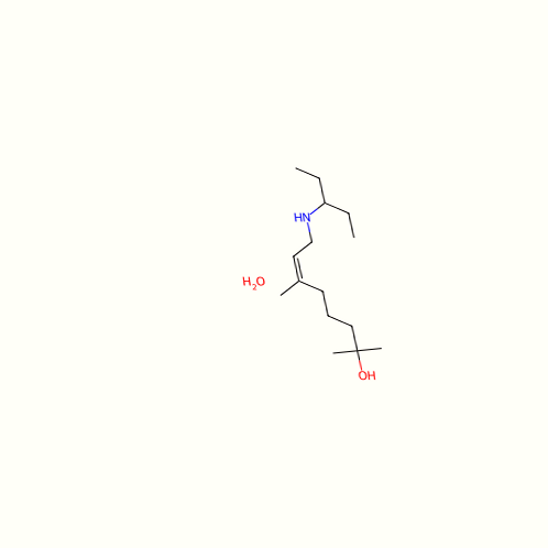 CCC(CC)NCC=C(C)CCCC(C)(C)O.O